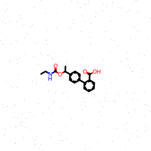 CCNC(=O)OC(C)c1ccc(-c2ccccc2C(=O)O)cc1